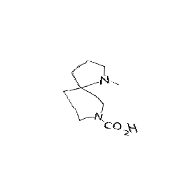 CN1CCCC12CCCN(C(=O)O)C2